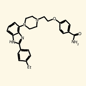 CCc1ccc(-c2nc3c(N4CCN(CCOc5ccc(C(N)=O)cc5)CC4)cccc3[nH]2)cc1